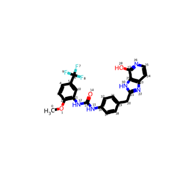 COc1ccc(C(F)(F)F)cc1NC(=O)Nc1ccc(Cc2nc3ccnc(O)c3[nH]2)cc1